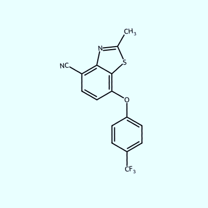 Cc1nc2c(C#N)ccc(Oc3ccc(C(F)(F)F)cc3)c2s1